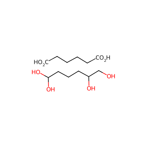 O=C(O)CCCCC(=O)O.OCC(O)CCCC(O)O